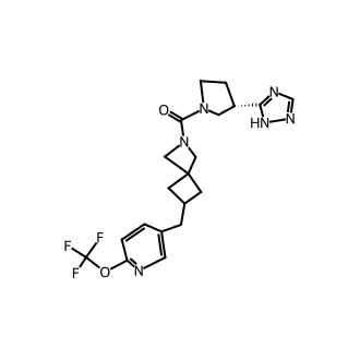 O=C(N1CC[C@H](c2ncn[nH]2)C1)N1CC2(CC(Cc3ccc(OC(F)(F)F)nc3)C2)C1